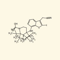 CC(C)(C)C1(Nc2cccc3c(CC#N)c(I)sc23)CCN(C(=O)O)C(C(C)(C)C)(C(C)(C)C)C1(F)C(C)(C)C